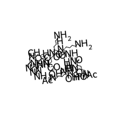 CCC[C@H](NC(=O)[C@@H](N)CCCN(O)C(C)=O)C(=O)NC(CCCN(O)C(C)=O)C(=O)NCCNC(=O)[C@H](CCCCN)NC(=O)[C@H](CCCCN)NC(=O)CC[C@@H](NC(=O)c1ccc(N(C)Cc2cnc3nc(N)nc(N)c3n2)cc1)C(=O)O